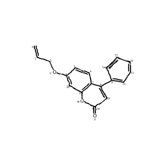 C=CCOc1ccc2c(-c3ccccc3)cc(=O)oc2c1